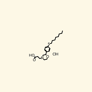 CCCCCCCCSc1ccc(C2CN(CCC(=O)O)CCO2)cc1.Cl